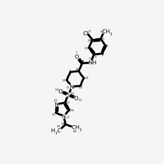 Cc1ccc(NC(=O)C2CCN(S(=O)(=O)c3cn(C(C)C)cn3)CC2)cc1Cl